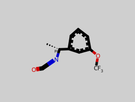 C[C@@H](N=C=O)c1cccc(OC(F)(F)F)c1